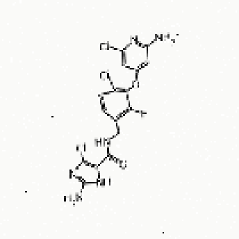 Nc1cc(Oc2c(Cl)ccc(CNC(=O)c3[nH]c(N)nc3Cl)c2F)cc(Cl)n1